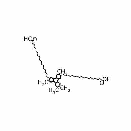 Cc1cc2c(cc1C)c1cc(CCCCCCCCCCCCCCCCCC(=O)O)c(C)cc1c1cc(CCCCCCCCCCCCCCCCCC(=O)O)c(C)cc21